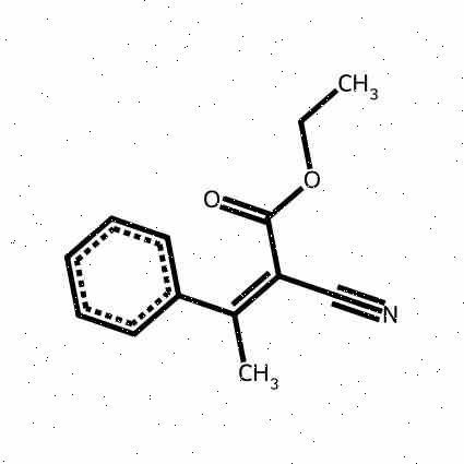 CCOC(=O)/C(C#N)=C(/C)c1ccccc1